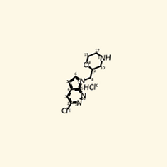 Cl.Clc1cc2ccn(CC3CNCCO3)c2nn1